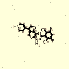 C[C@@H](Oc1c(N)ncc2c(C3=CCNCC3)coc12)c1c(Cl)c(F)cc(F)c1Cl